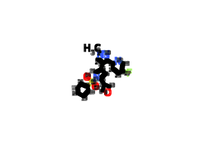 Cn1cc(-c2cc(C3COC3)n(S(=O)(=O)c3ccccc3)c2)c(-c2ccc(F)cn2)n1